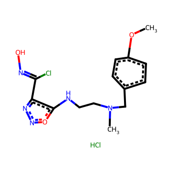 COc1ccc(CN(C)CCNc2onnc2C(Cl)=NO)cc1.Cl